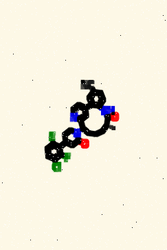 C[C@@H]1CCC[C@H](N2CCC(c3c(F)ccc(Cl)c3F)=CC2=O)c2cc(ccn2)-c2cc(C#N)ccc2NC1=O